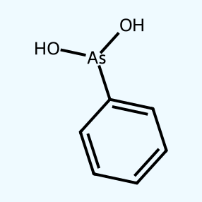 O[As](O)c1ccccc1